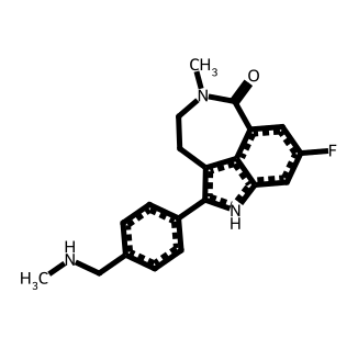 CNCc1ccc(-c2[nH]c3cc(F)cc4c3c2CCN(C)C4=O)cc1